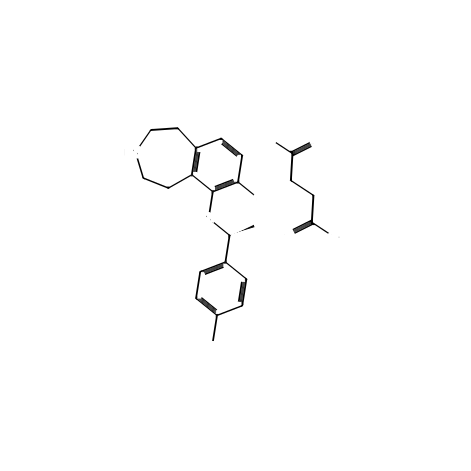 Cc1ccc([C@H](C)Nc2c(Cl)ccc3c2CCNCC3)cc1.O=C(O)CCC(=O)O